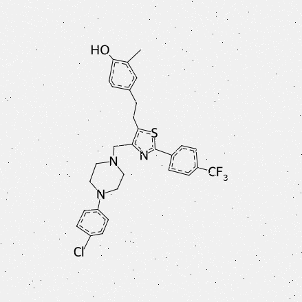 Cc1cc(CCc2sc(-c3ccc(C(F)(F)F)cc3)nc2CN2CCN(c3ccc(Cl)cc3)CC2)ccc1O